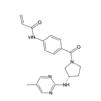 C=CC(=O)Nc1ccc(C(=O)N2CC[C@H](Nc3ncc(C)cn3)C2)cc1